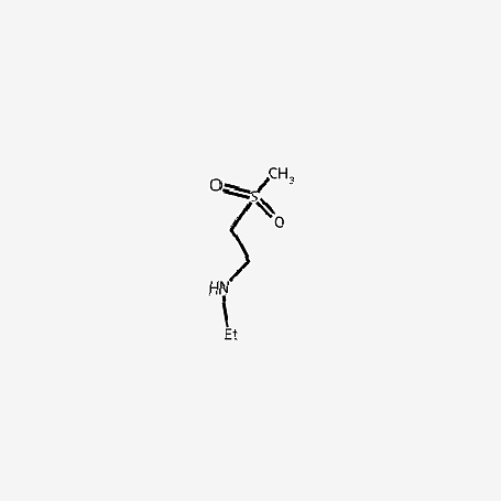 [CH2]CNCCS(C)(=O)=O